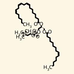 CCCCC/C=C\C/C=C\C/C=C\CCCCCCC(=O)O[C@H](COC(=O)CCCCCCC/C=C\CCCCC)COP(=O)([O-])OCC[N+](C)(C)C